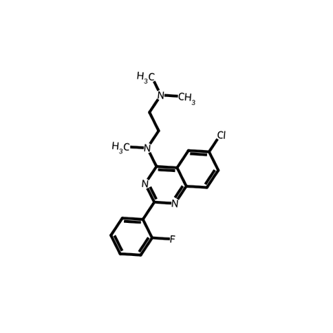 CN(C)CCN(C)c1nc(-c2ccccc2F)nc2ccc(Cl)cc12